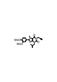 C#CCn1c(=O)c2c(nc(-c3ccc(OC)c(OC)c3)n2C)n(CC(=C)C)c1=O